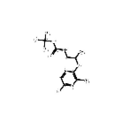 Cc1nc(Br)cnc1OC(C)CNC(=O)OC(C)(C)C